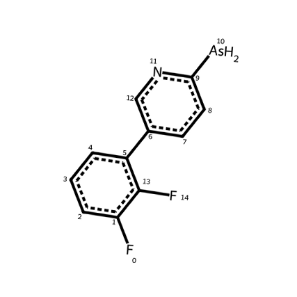 Fc1cccc(-c2ccc([AsH2])nc2)c1F